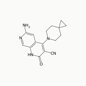 N#Cc1c(N2CCC3(CC2)CC3)c2cc(N)ncc2[nH]c1=O